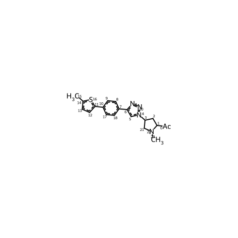 CC(=O)C1CC(n2cc(-c3ccc(-c4ccc(C)s4)cc3)nn2)CN1C